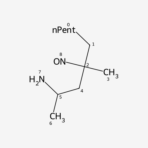 CCCCCCC(C)(CC(C)N)N=O